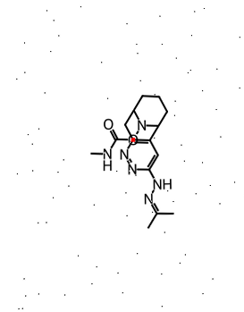 CNC(=O)ON1C2CCCC1c1cc(NN=C(C)C)nnc1C2